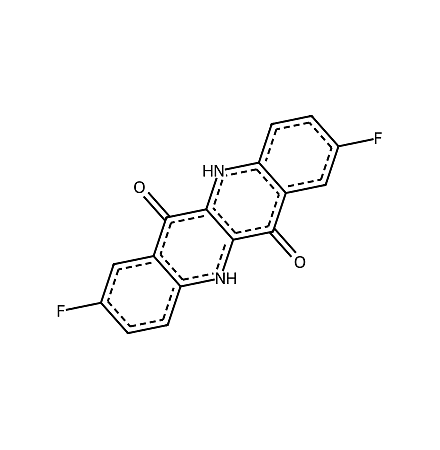 O=c1c2cc(F)ccc2[nH]c2c(=O)c3cc(F)ccc3[nH]c12